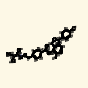 CCN(CC)/[N+]([O-])=N/OCc1ccc(C(=O)Oc2c(C)ncc3c2CO[C@H]3c2ccc(Cl)cc2)cc1